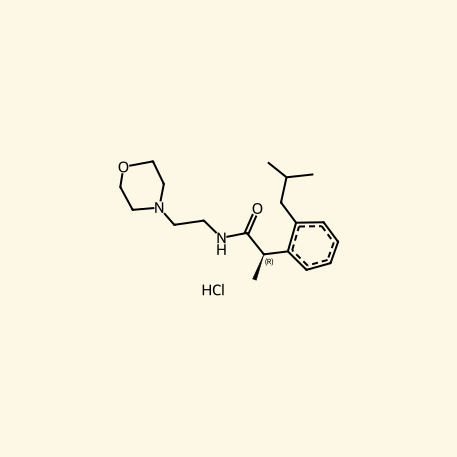 CC(C)Cc1ccccc1[C@@H](C)C(=O)NCCN1CCOCC1.Cl